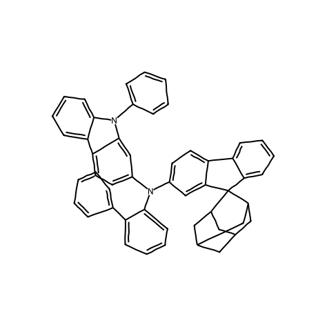 c1ccc(-c2ccccc2N(c2ccc3c(c2)C2(c4ccccc4-3)C3CC4CC(C3)CC2C4)c2ccc3c4ccccc4n(-c4ccccc4)c3c2)cc1